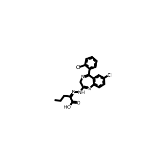 CCCC(=NNC1=Nc2ccc(Cl)cc2C(c2ccccc2Cl)=NC1)C(=O)O